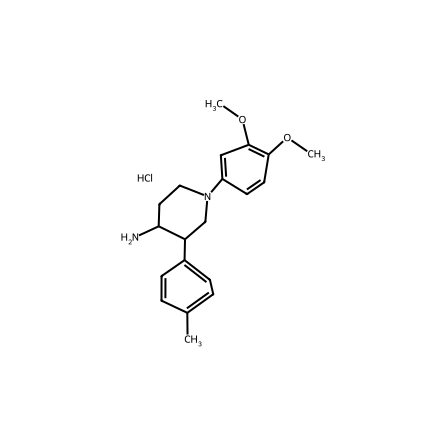 COc1ccc(N2CCC(N)C(c3ccc(C)cc3)C2)cc1OC.Cl